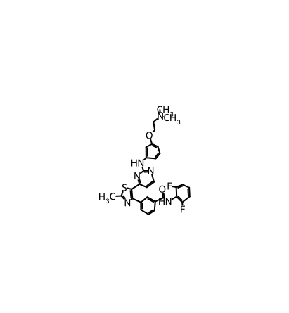 Cc1nc(-c2cccc(C(=O)Nc3c(F)cccc3F)c2)c(-c2ccnc(Nc3cccc(OCCN(C)C)c3)n2)s1